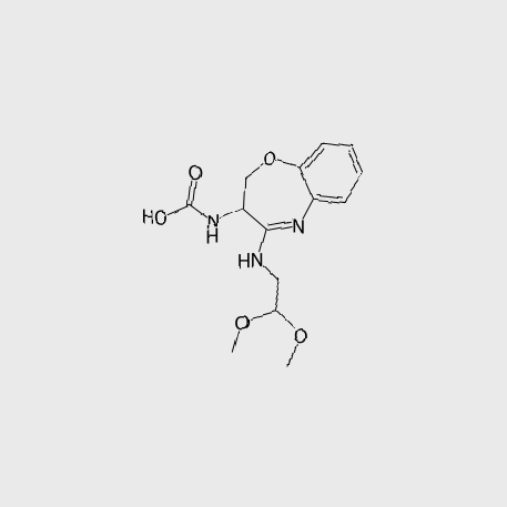 COC(CNC1=Nc2ccccc2OCC1NC(=O)O)OC